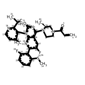 C=CC(=O)N1CCN(c2nc(=O)n(-c3c(C)ccnc3C(C)C)c3nc(-c4c(F)cccc4SC)c(F)cc23)[C@@H](C)C1